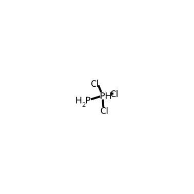 P[PH](Cl)(Cl)Cl